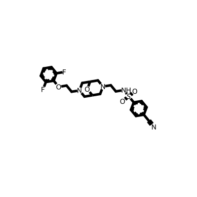 N#Cc1ccc(S(=O)(=O)NCCN2CC3CN(CCOc4c(F)cccc4F)CC(C2)O3)cc1